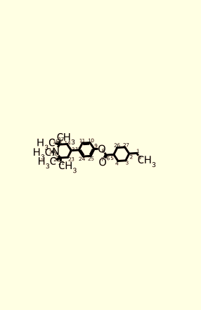 CCC1CCC(C(=O)Oc2ccc(C3CC(C)(C)N(C)C(C)(C)C3)cc2)CC1